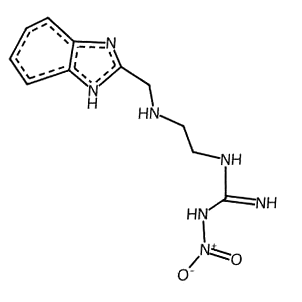 N=C(NCCNCc1nc2ccccc2[nH]1)N[N+](=O)[O-]